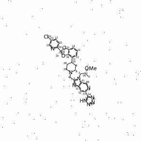 CO[C@H](C)Cn1c(CN2CCC(c3cccc4c3O[C@@](C)(c3ccc(Cl)cn3)O4)CC2)nc2cc(-c3nnn[nH]3)ncc21